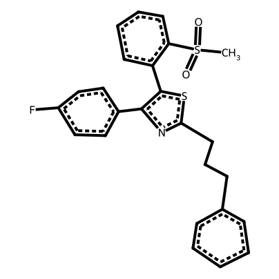 CS(=O)(=O)c1ccccc1-c1sc(CCCc2ccccc2)nc1-c1ccc(F)cc1